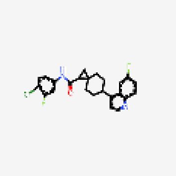 O=C(Nc1ccc(Cl)c(F)c1)C1CC12CCC(c1ccnc3ccc(F)cc13)CC2